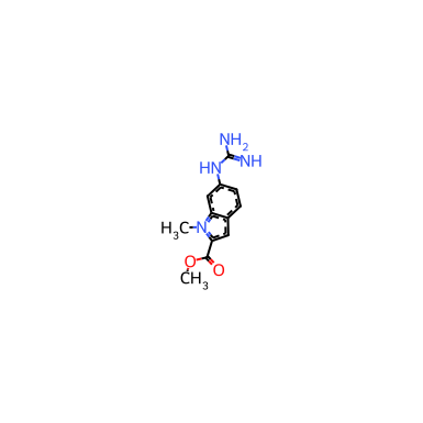 COC(=O)c1cc2ccc(NC(=N)N)cc2n1C